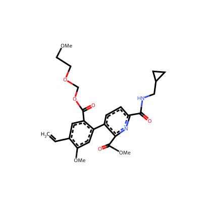 C=Cc1cc(C(=O)OCOCCOC)c(-c2ccc(C(=O)NCC3CC3)nc2C(=O)OC)cc1OC